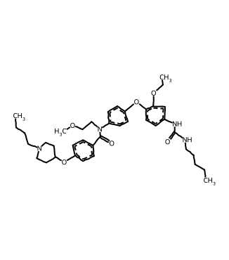 CCCCCNC(=O)Nc1ccc(Oc2ccc(N(CCOC)C(=O)c3ccc(OC4CCN(CCCC)CC4)cc3)cc2)c(OCC)c1